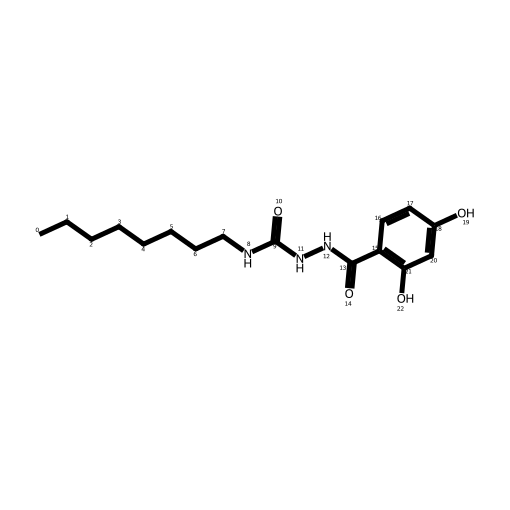 CCCCCCCCNC(=O)NNC(=O)c1ccc(O)cc1O